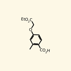 CCOC(=O)COc1ccc(C(=O)O)c(C)c1